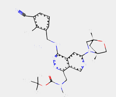 Cc1c(C#N)cccc1[C@@H](N)Nc1nnc(CN(C)C(=O)OC(C)(C)C)c2cnc(N3C[C@H]4C[C@@H]3CO4)cc12